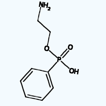 NCCOP(=O)(O)c1ccccc1